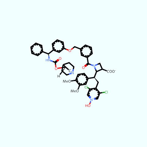 COc1ccc([C@H](Cc2c(Cl)c[n+](O)cc2Cl)C2C(C(=O)[O-])CN2C(=O)c2cccc(COc3cccc([C@@H](NC(=O)O[C@H]4CN5CCC4CC5)c4ccccc4)c3)c2)cc1OC